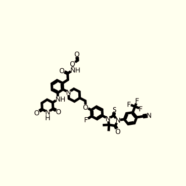 CC1(C)C(=O)N(c2ccc(C#N)c(C(F)(F)F)c2)C(=S)N1c1ccc(OCC2CCN(c3c(CC(=O)NOC=O)cccc3NC3CCC(=O)NC3=O)CC2)c(F)c1